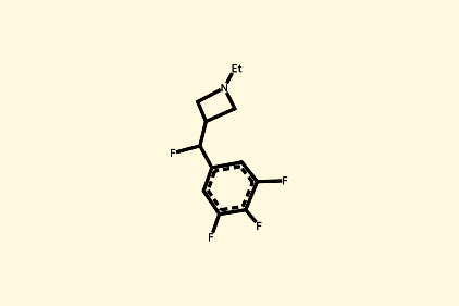 CCN1CC(C(F)c2cc(F)c(F)c(F)c2)C1